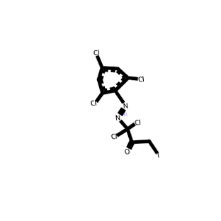 O=C(CI)C(Cl)(Cl)/N=N/c1c(Cl)cc(Cl)cc1Cl